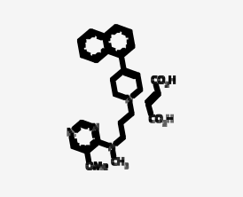 COc1cncnc1N(C)CCCN1CC=C(c2cccc3ccccc23)CC1.O=C(O)/C=C/C(=O)O